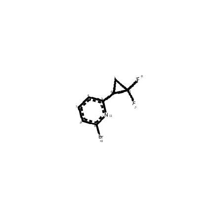 FC1(F)CC1c1cccc(Br)n1